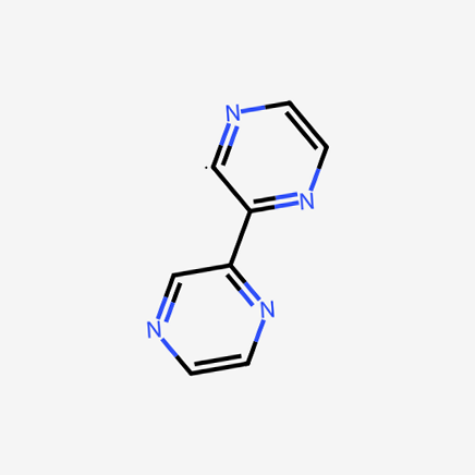 [c]1nccnc1-c1cnccn1